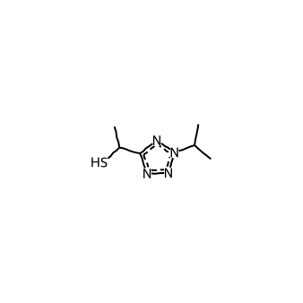 CC(S)c1nnn(C(C)C)n1